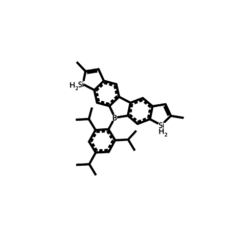 CC1=Cc2cc3c(cc2[SiH2]1)B(c1c(C(C)C)cc(C(C)C)cc1C(C)C)c1cc2c(cc1-3)C=C(C)[SiH2]2